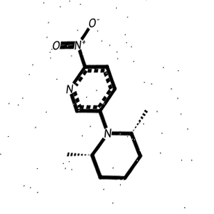 C[C@@H]1CCC[C@H](C)N1c1ccc([N+](=O)[O-])nc1